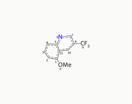 COc1cccc2ncc(C(F)(F)F)cc12